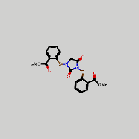 COC(=O)c1ccccc1SN1CC(=O)N(Sc2ccccc2C(=O)OC)C1=O